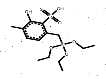 CCO[Si](Cc1ccc(C)c(O)c1S(=O)(O)=S)(OCC)OCC